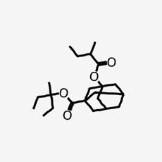 CCC(C)C(=O)OC12CC3CC(C1)CC(C(=O)OC(C)(CC)CC)(C3)C2